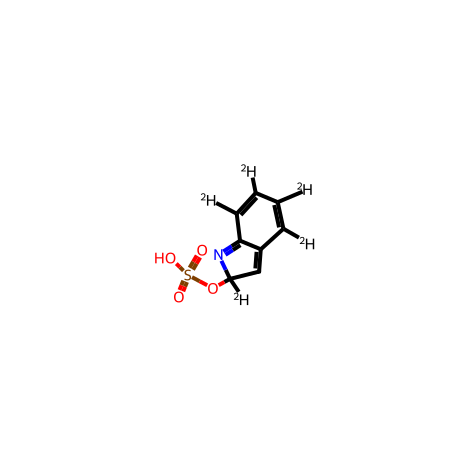 [2H]c1c([2H])c([2H])c2c(c1[2H])=CC([2H])(OS(=O)(=O)O)N=2